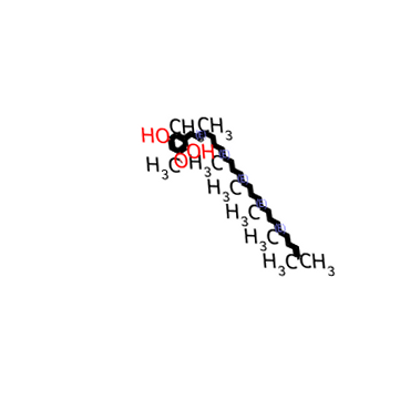 COc1cc(O)c(C)c(C/C=C(\C)CC/C=C(\C)CC/C=C(\C)CC/C=C(\C)CC/C=C(\C)CCC=C(C)C)c1O